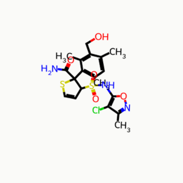 Cc1cc(C)c(C2(C(N)=O)SC=CC2S(=O)(=O)Nc2onc(C)c2Cl)c(C)c1CO